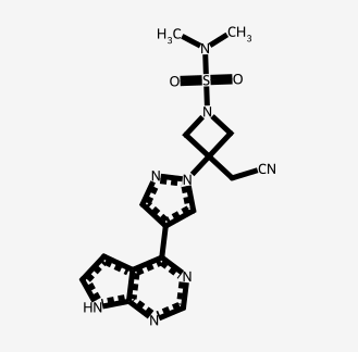 CN(C)S(=O)(=O)N1CC(CC#N)(n2cc(-c3ncnc4[nH]ccc34)cn2)C1